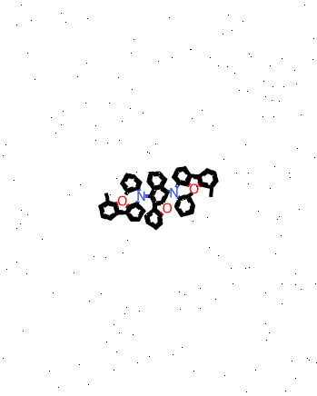 Cc1ccccc1N(c1cccc2c1oc1c(C)cccc12)c1c2ccccc2c(N(c2ccccc2C)c2cccc3c2oc2c(C)cccc23)c2c1oc1ccccc12